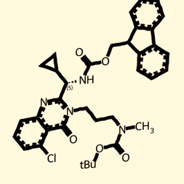 CN(CCCn1c([C@@H](NC(=O)OCC2c3ccccc3-c3ccccc32)C2CC2)nc2cccc(Cl)c2c1=O)C(=O)OC(C)(C)C